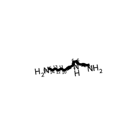 NCC#Cc1ccc(C#CCCCCCCN)[nH]1